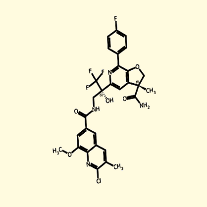 COc1cc(C(=O)NC[C@](O)(c2cc3c(c(-c4ccc(F)cc4)n2)OC[C@]3(C)C(N)=O)C(F)(F)F)cc2cc(C)c(Cl)nc12